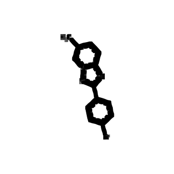 Cc1ccc2nc(-c3ccc(Br)cc3)nn2c1